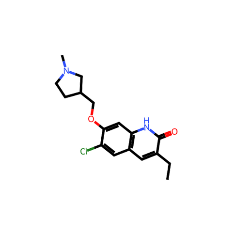 CCc1cc2cc(Cl)c(OCC3CCN(C)C3)cc2[nH]c1=O